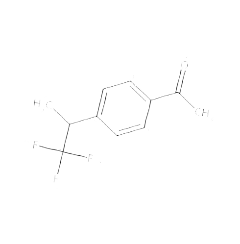 CC(=O)c1ccc(C(C)C(F)(F)F)cc1